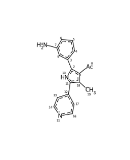 CC(=O)c1c(-c2cccc(N)c2)[nH]c(-c2ccncc2)c1C